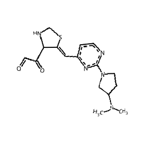 CN(C)C1CCN(c2nccc(/C=C3\SCNC3C(=O)C=O)n2)C1